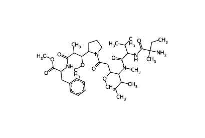 CCC(C)C(C(CC(=O)N1CCCC1C(OC)C(C)C(=O)NC(Cc1ccccc1)C(=O)OC)OC)N(C)C(=O)C(NC(=O)C(C)(N)CC)C(C)C